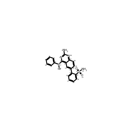 Nc1nc(N(Br)c2ccccc2)c2cc(-c3ccccc3S(N)(=O)=O)ccc2n1